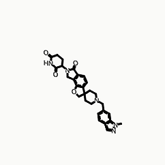 Cn1ncc2ccc(CN3CCC4(CC3)COc3c4ccc4c3CN(C3CCC(=O)NC3=O)C4=O)cc21